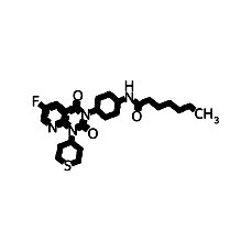 CCCCCCC(=O)NC1CCC(n2c(=O)c3cc(F)cnc3n(C3CCSCC3)c2=O)CC1